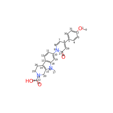 COc1ccc(-c2ccn(-c3ccc4c5c(n(C)c4c3)CN(C(=O)O)CC5)c(=O)c2)cc1